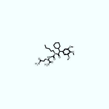 CCCCCN(C(=O)N[C@H](CCC(N)=O)C(N)=O)C(=O)C(c1cc(OC)c(OC)c(OC)c1)C1CCCCC1